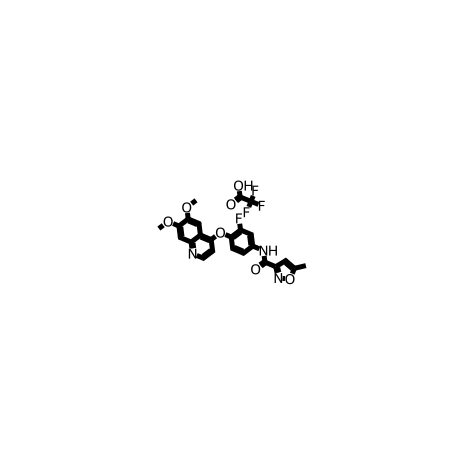 COc1cc2nccc(Oc3ccc(NC(=O)c4cc(C)on4)cc3F)c2cc1OC.O=C(O)C(F)(F)F